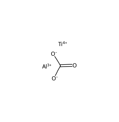 O=C([O-])[O-].[Al+3].[Ti+4]